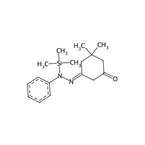 CC1(C)CC(=O)CC(=NN(c2ccccc2)[Si](C)(C)C)C1